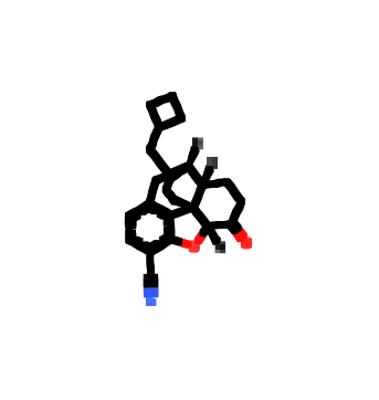 N#Cc1ccc2c3c1O[C@H]1C(=O)CC[C@H]4[C@@H](C2)C(CC2CCC2)CC[C@]314